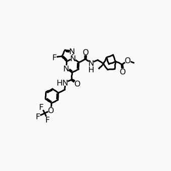 COC(=O)C12CCC(C)(CNC(=O)c3cc(C(=O)NCc4cccc(OC(F)(F)F)c4)nc4c(F)cnn34)C(C1)C2